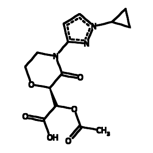 CC(=O)OC(C(=O)O)[C@H]1OCCN(c2ccn(C3CC3)n2)C1=O